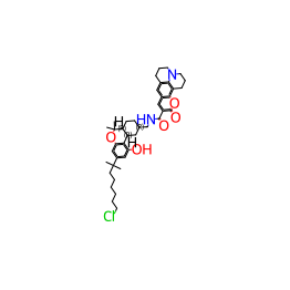 CC(C)(CCCCCCCl)c1cc(O)c2c(c1)OC(C)(C)[C@@H]1CC[C@@H](CNC(=O)c3cc4cc5c6c(c4oc3=O)CCCN6CCC5)C[C@@H]21